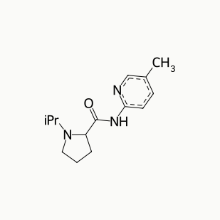 Cc1ccc(NC(=O)C2CCCN2C(C)C)nc1